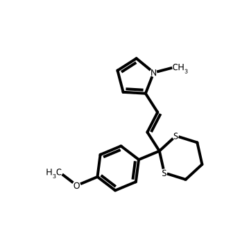 COc1ccc(C2(/C=C/c3cccn3C)SCCCS2)cc1